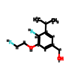 CC(C)c1cc(CO)cc(OCCF)c1F